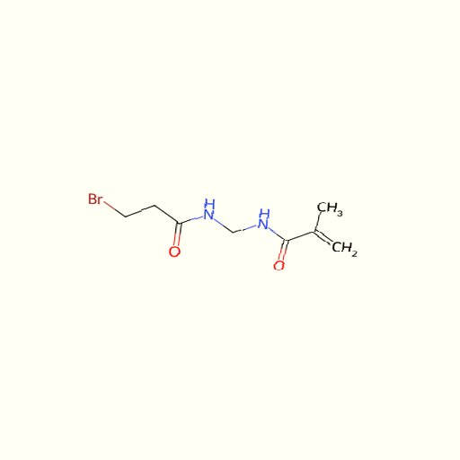 C=C(C)C(=O)NCNC(=O)CCBr